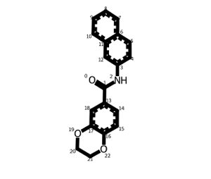 O=C(Nc1ccc2ccccc2c1)c1ccc2c(c1)OCCO2